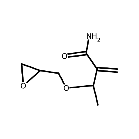 C=C(C(N)=O)C(C)OCC1CO1